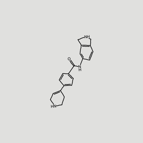 O=C(Nc1ccc2c(c1)CNC2)c1ccc(C2=CCNCC2)cc1